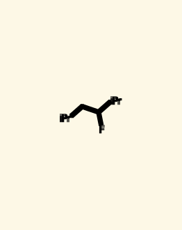 CC(C)CC(F)C(C)C